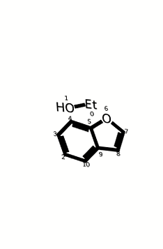 CCO.c1ccc2occc2c1